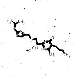 CCCCc1c(C)[nH]c(CCSCc2csc(N=C(N)N)n2)nc1=O.Cl.Cl